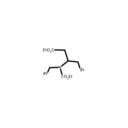 CCOC(=O)CC(CC(C)C)N(CC(C)C)C(=O)OCC